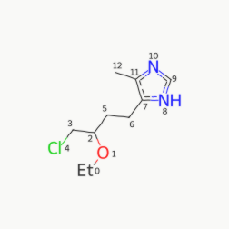 CCOC(CCl)CCc1[nH]cnc1C